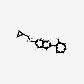 Clc1ccccc1-c1cn2nc(NCC3CC3)sc2n1